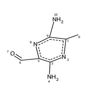 Cc1nc(N)c(C=O)nc1N